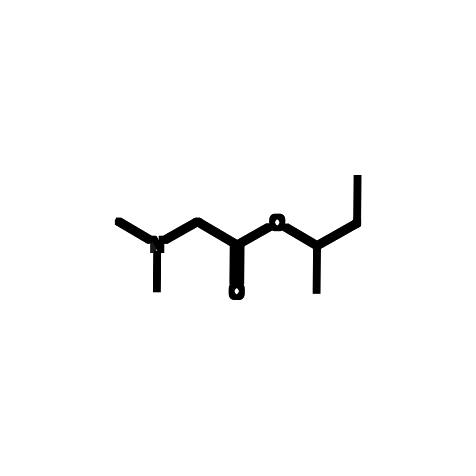 CCC(C)OC(=O)CN(C)C